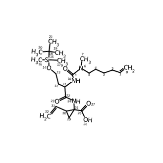 C=CCCCCN(C)C(=O)NC(CCO[Si](C)(C)C(C)(C)C)C(=O)NC1(C(=O)O)CC1C=C